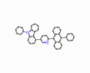 c1ccc(-c2c3ccccc3c(-c3ccc(-c4cccc5c4c4ccccc4n5-c4ccccc4)cn3)c3ccccc23)cc1